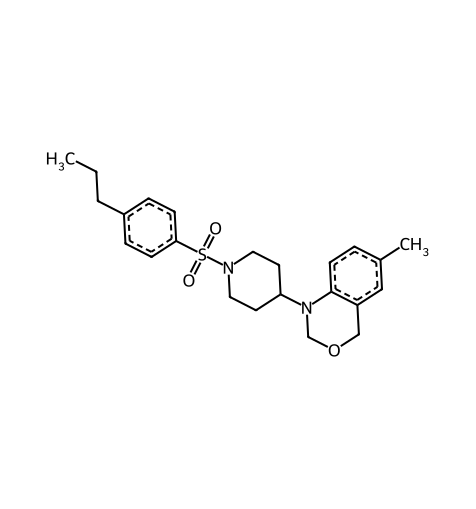 CCCc1ccc(S(=O)(=O)N2CCC(N3COCc4cc(C)ccc43)CC2)cc1